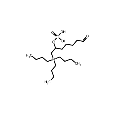 CCCC[N+](CCCC)(CCCC)CC(CCCCC=O)OP(=O)(O)O